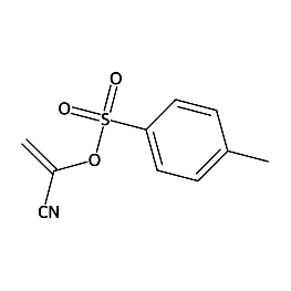 C=C(C#N)OS(=O)(=O)c1ccc(C)cc1